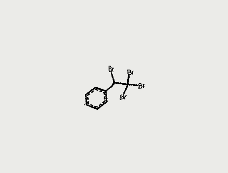 BrC(c1cc[c]cc1)C(Br)(Br)Br